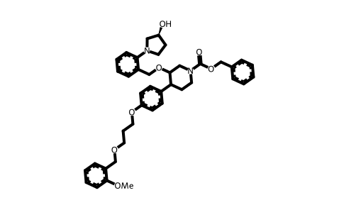 COc1ccccc1COCCCOc1ccc(C2CCN(C(=O)OCc3ccccc3)CC2OCc2ccccc2N2CC[C@H](O)C2)cc1